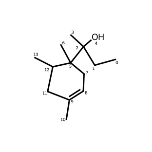 CCC(C)(O)C1(C)CC=C(C)CC1C